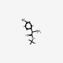 CC(C)(C)OC(=O)C(N)c1c[c]c(Br)cc1